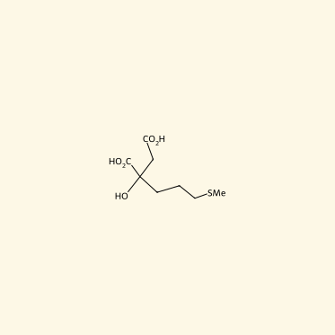 CSCCCC(O)(CC(=O)O)C(=O)O